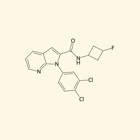 O=C(NC1CC(F)C1)c1cc2cccnc2n1-c1ccc(Cl)c(Cl)c1